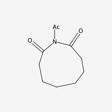 CC(=O)N1C(=O)CCCCCCC1=O